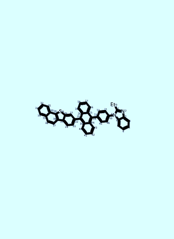 CCc1nc2ccccc2n1-c1ccc(-c2c3ccccc3c(-c3ccc4c(c3)sc3c5ccccc5ccc43)c3ccccc23)cc1